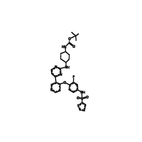 CC(C)(C)OC(=O)NC1CCC(Nc2nccc(-c3cnccc3Oc3ccc(NS(=O)(=O)c4cccs4)cc3F)n2)CC1